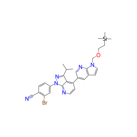 CC(C)c1nn(-c2ccc(C#N)c(Br)c2)c2nccc(-c3cnc4c(ccn4COCC[Si](C)(C)C)c3)c12